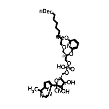 CCCCCCCCCCCCCCCCCCOC[C@H](COP(=O)(O)OC[C@H]1O[C@@](C#N)(c2ccc3c(C)ncnn23)[C@H](O)[C@@H]1O)Oc1cccc(OC)n1